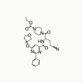 CCOC(=O)N1CCN(C(=O)C(CCC#N)NC(=O)c2cc(O[C@H]3CCOC3)nc(-c3ccccc3)n2)CC1